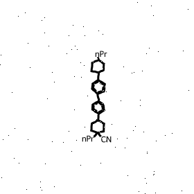 CCCC1CCC(c2ccc(-c3ccc(C4CCC(C#N)(CCC)CC4)cc3)cc2)CC1